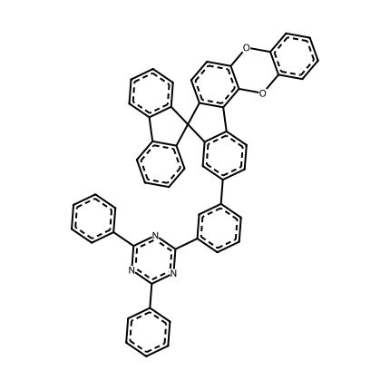 c1ccc(-c2nc(-c3ccccc3)nc(-c3cccc(-c4ccc5c(c4)C4(c6ccccc6-c6ccccc64)c4ccc6c(c4-5)Oc4ccccc4O6)c3)n2)cc1